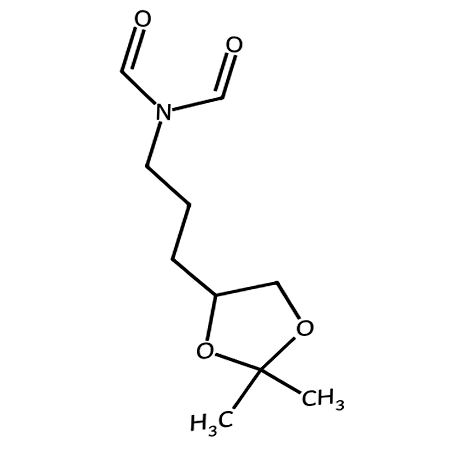 CC1(C)OCC(CCCN(C=O)C=O)O1